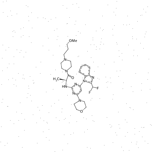 COCCCN1CCN(C(=O)[C@H](C)Nc2nc(N3CCOCC3)cc(-n3c(C(F)F)nc4ccccc43)n2)CC1